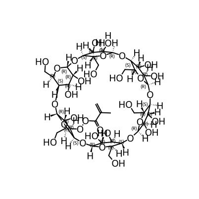 C=C(C)C(=O)OO[C@@H]1[C@@H](O)[C@H]2O[C@H]3[C@H](O)[C@@H](O)[C@@H](O[C@H]4[C@H](O)[C@@H](O)[C@@H](O[C@H]5[C@H](O)[C@@H](O)[C@@H](O[C@H]6[C@H](O)[C@@H](O)[C@@H](O[C@H]7[C@H](O)[C@@H](O)[C@@H](O[C@H]1[C@@H](CO)O2)O[C@@H]7CO)O[C@@H]6CO)O[C@@H]5CO)O[C@@H]4CO)O[C@@H]3CO